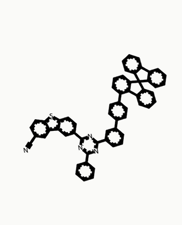 N#Cc1ccc2sc3ccc(-c4nc(-c5ccccc5)nc(-c5cccc(-c6ccc(-c7cccc8c7-c7ccccc7C87c8ccccc8-c8ccccc87)cc6)c5)n4)cc3c2c1